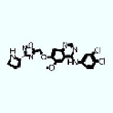 COc1cc2c(Nc3ccc(Cl)c(Cl)c3)ncnc2cc1OCc1nc([C@@H]2CCCN2)no1